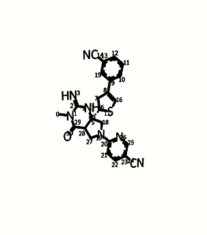 CN1C(=N)N[C@@]2(C3CC(c4cccc(C#N)c4)=CS3)CN(c3ccc(C#N)cn3)CC2C1=O